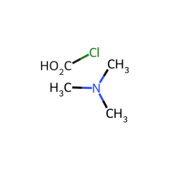 CN(C)C.O=C(O)Cl